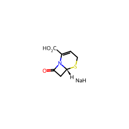 O=C(O)C1=CCS[C@@H]2CC(=O)N12.[NaH]